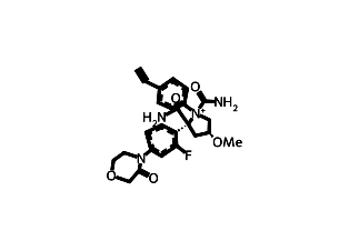 C#Cc1ccc([N+]2(C(N)=O)C[C@H](OC)C[C@]2(C(N)=O)c2ccc(N3CCOCC3=O)cc2F)cc1